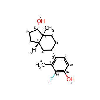 Cc1c([C@H]2CC[C@@]3(C)[C@@H](CC[C@@H]3O)C2)ccc(O)c1F